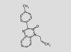 C=CCn1c(=O)c(-c2ccc(C)cc2)nc2ccccc21